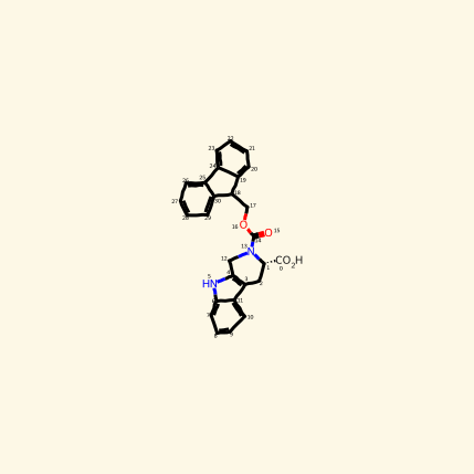 O=C(O)[C@@H]1Cc2c([nH]c3ccccc23)CN1C(=O)OCC1c2ccccc2-c2ccccc21